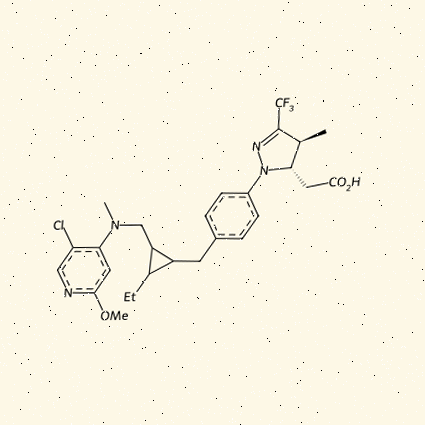 CCC1C(Cc2ccc(N3N=C(C(F)(F)F)[C@@H](C)[C@@H]3CC(=O)O)cc2)C1CN(C)c1cc(OC)ncc1Cl